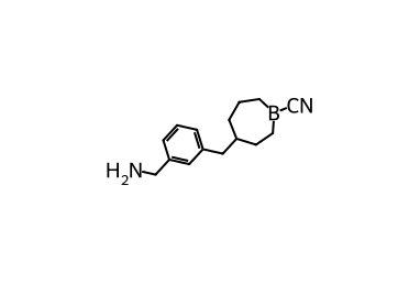 N#CB1CCCC(Cc2cccc(CN)c2)CC1